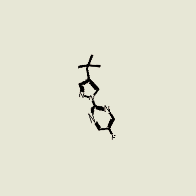 CC(C)(C)c1cnn(-c2ncc(F)cn2)c1